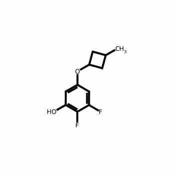 CC1CC(Oc2cc(O)c(F)c(F)c2)C1